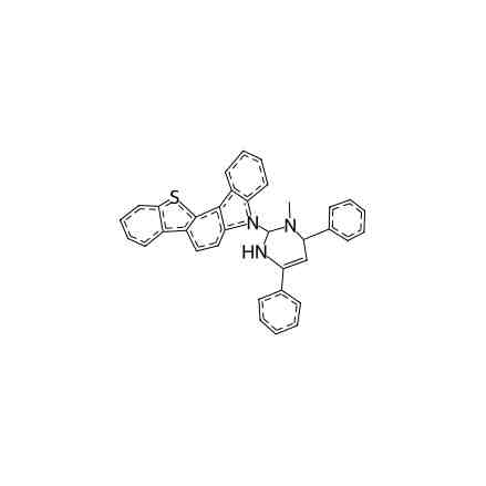 CN1C(c2ccccc2)C=C(c2ccccc2)NC1n1c2ccccc2c2c3sc4ccccc4c3ccc21